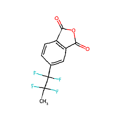 CC(F)(F)C(F)(F)c1ccc2c(c1)C(=O)OC2=O